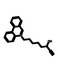 C#CC(O)CCCCC[n+]1cc2ccccc2c2ccccc21